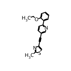 CCOc1ccccc1-c1ccc(C#Cc2csc(C)n2)cn1